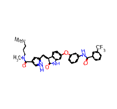 CNCCCN(C)C(=O)c1c[nH]c(C=C2C(=O)Nc3cc(Oc4cccc(NC(=O)c5cccc(C(F)(F)F)c5)c4)ccc32)c1